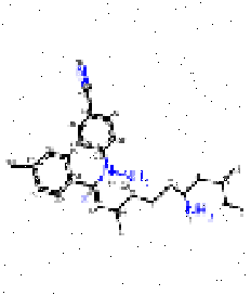 CCC(C)CC(N)CCCC(C)/C=C(/c1ccc(C)cc1)N(N)c1ccc(C#N)cc1